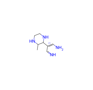 CC1NCCNC1/C(C=N)=C/N